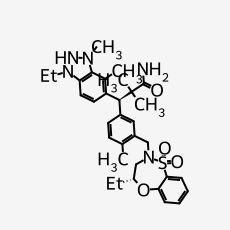 CC[C@@H]1CN(Cc2cc([C@@H](c3ccc4c(c3C)N(C)NN4CC)C(C)(C)C(N)=O)ccc2C)S(=O)(=O)c2ccccc2O1